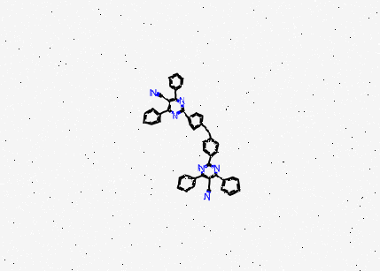 N#Cc1c(-c2ccccc2)nc(-c2ccc(Cc3ccc(-c4nc(-c5ccccc5)c(C#N)c(-c5ccccc5)n4)cc3)cc2)nc1-c1ccccc1